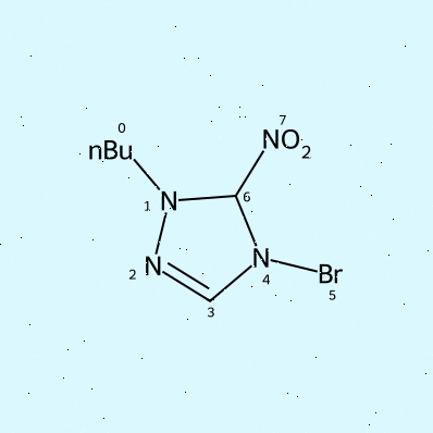 CCCCN1N=CN(Br)C1[N+](=O)[O-]